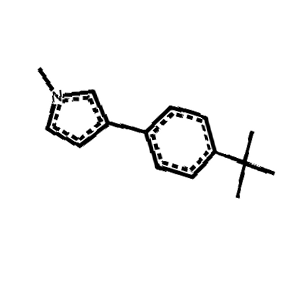 Cn1ccc(-c2ccc(C(C)(C)C)cc2)c1